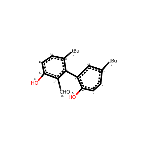 CC(C)(C)c1ccc(O)c(-c2c(C(C)(C)C)c[c]c(O)c2C=O)c1